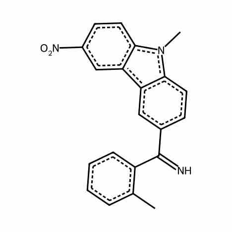 Cc1ccccc1C(=N)c1ccc2c(c1)c1cc([N+](=O)[O-])ccc1n2C